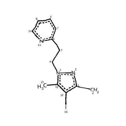 Cc1nn(CCc2ccccn2)c(C)c1I